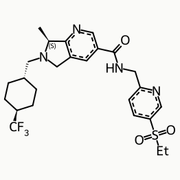 CCS(=O)(=O)c1ccc(CNC(=O)c2cnc3c(c2)CN(C[C@H]2CC[C@H](C(F)(F)F)CC2)[C@H]3C)nc1